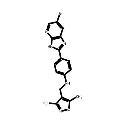 Cc1noc(C)c1CNc1ccc(-c2nc3cc(Br)cnc3[nH]2)cc1